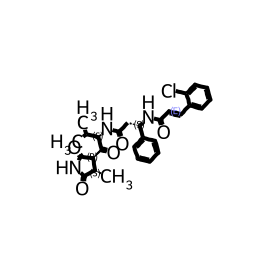 CC(C)[C@H](NC(=O)C[C@H](NC(=O)/C=C/c1ccccc1Cl)c1ccccc1)C(=O)[C@@H]1C(=O)NC(=O)[C@H]1C